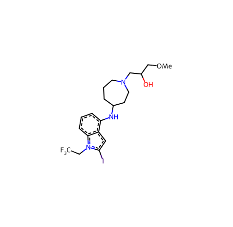 COCC(O)CN1CCCC(Nc2cccc3c2cc(I)n3CC(F)(F)F)CC1